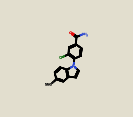 COc1ccc2c(ccn2-c2ccc(C(N)=O)cc2Cl)c1